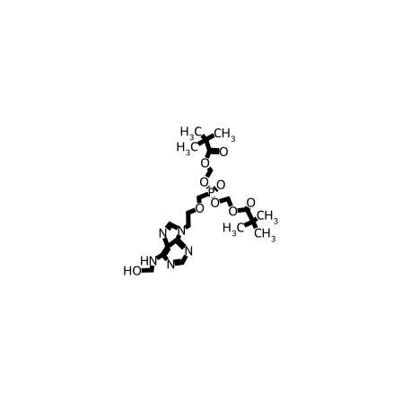 CC(C)(C)C(=O)OCOP(=O)(COCCn1cnc2c(NCO)ncnc21)OCOC(=O)C(C)(C)C